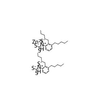 CCCCCc1cccc([NH+]([S-])C(=S)[S-])c1CCCCC.CCCCCc1cccc([NH+]([S-])C(=S)[S-])c1CCCCC.[Zn+2]